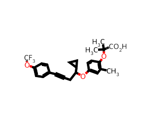 Cc1cc(OC(CC#Cc2ccc(OC(F)(F)F)cc2)C2CC2)ccc1OC(C)(C)C(=O)O